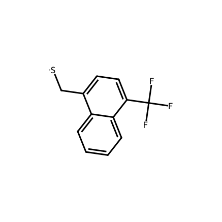 FC(F)(F)c1ccc(C[S])c2ccccc12